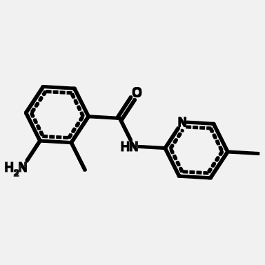 Cc1ccc(NC(=O)c2cccc(N)c2C)nc1